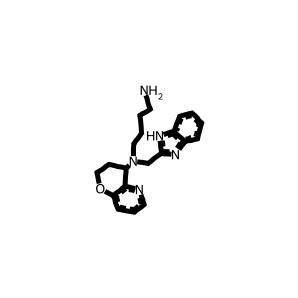 NCCCCN(Cc1nc2ccccc2[nH]1)C1CCOc2cccnc21